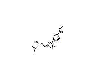 CC(C)OP(O)OC[C@@H]1C[C@H](C)[C@H](N(C)/C=C\C(=O)NC=O)O1